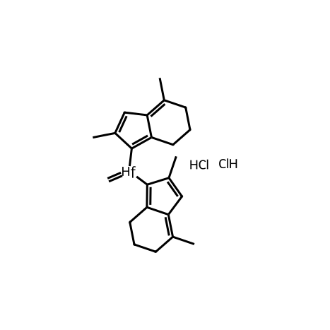 Cl.Cl.[CH2]=[Hf]([C]1=C2CCCC(C)=C2C=C1C)[C]1=C2CCCC(C)=C2C=C1C